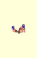 Oc1cccc(-c2ccc(OCCN3CCCC3)cc2)c1Cc1ccc(OC2CCCCC2N2CCCCC2)cc1